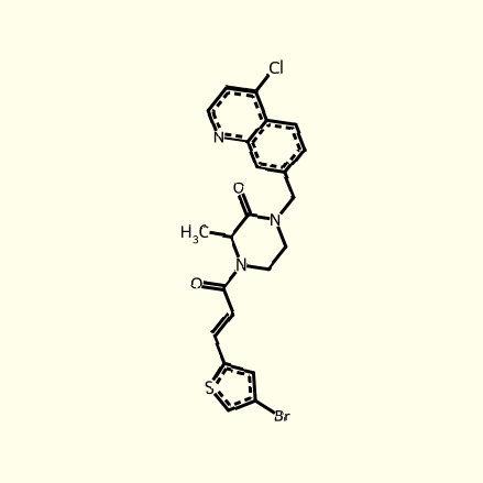 CC1C(=O)N(Cc2ccc3c(Cl)ccnc3c2)CCN1C(=O)C=Cc1cc(Br)cs1